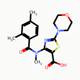 Cc1ccc(C(=O)N(C)c2nc(N3CCOCC3)sc2C(=O)O)c(C)c1